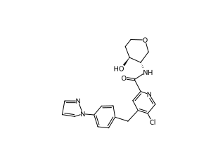 O=C(N[C@H]1COCC[C@@H]1O)c1cc(Cc2ccc(-n3cccn3)cc2)c(Cl)cn1